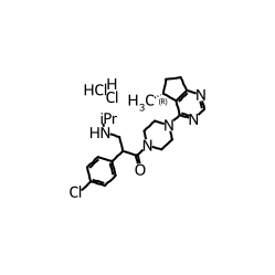 CC(C)NCC(C(=O)N1CCN(c2ncnc3c2[C@H](C)CC3)CC1)c1ccc(Cl)cc1.Cl.Cl